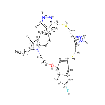 Cc1c(C(=O)O)n2c3ccc(C#N)c(c13)-c1c(nn(C)c1C)CSCc1cc(n(C)n1)CSc1cc(c3ccc(F)cc3c1)OCCC2